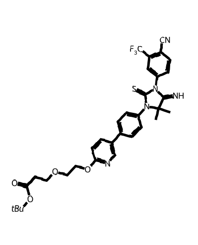 CC(C)(C)OC(=O)CCOCCOc1ccc(-c2ccc(N3C(=S)N(c4ccc(C#N)c(C(F)(F)F)c4)C(=N)C3(C)C)cc2)cn1